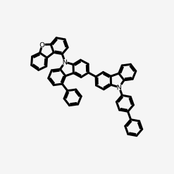 c1ccc(-c2ccc(-n3c4ccccc4c4cc(-c5ccc6c(c5)c5c(-c7ccccc7)cccc5n6-c5cccc6oc7ccccc7c56)ccc43)cc2)cc1